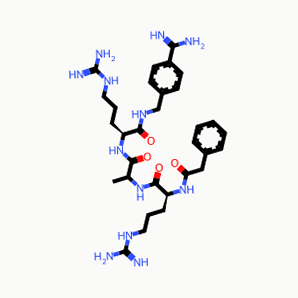 CC(NC(=O)[C@H](CCCNC(=N)N)NC(=O)Cc1ccccc1)C(=O)N[C@@H](CCCNC(=N)N)C(=O)NCc1ccc(C(=N)N)cc1